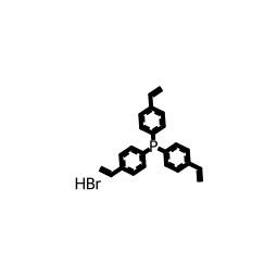 Br.C=Cc1ccc(P(c2ccc(C=C)cc2)c2ccc(C=C)cc2)cc1